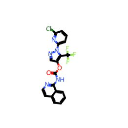 O=C(Nc1nccc2ccccc12)Oc1cnn(-c2cccc(Cl)n2)c1C(F)(F)F